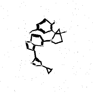 Fc1ccc(F)c([C@@]23C[C@@H]2CCN3c2ccn3ncc(-c4cn(C5CC5)nn4)c3n2)c1